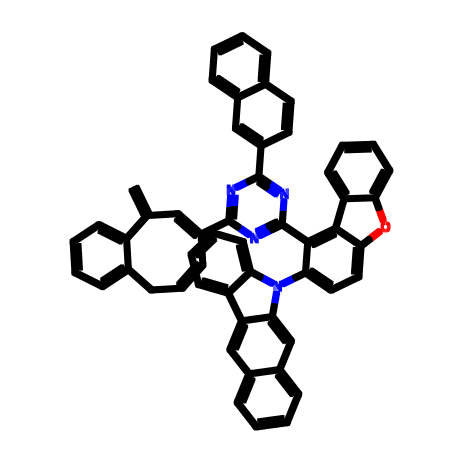 C=C1/C=C(c2nc(-c3ccc4ccccc4c3)nc(-c3c(-n4c5ccccc5c5cc6ccccc6cc54)ccc4oc5ccccc5c34)n2)\C=C/Cc2ccccc21